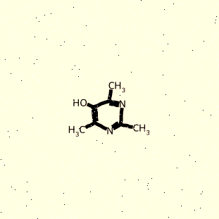 Cc1nc(C)c(O)c(C)n1